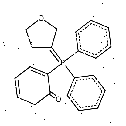 O=C1CC=CC=C1P(=C1CCOC1)(c1ccccc1)c1ccccc1